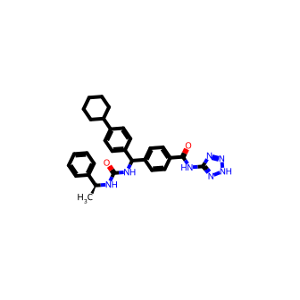 C[C@H](NC(=O)NC(c1ccc(C(=O)Nc2nn[nH]n2)cc1)c1ccc(C2CCCCC2)cc1)c1ccccc1